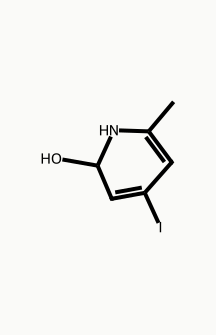 CC1=CC(I)=CC(O)N1